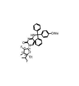 CC[C@@]1(C(C)F)O[C@@H](n2ccc(NC(c3ccccc3)(c3ccccc3)c3ccc(OC)cc3)nc2=O)[C@H](F)[C@@H]1C